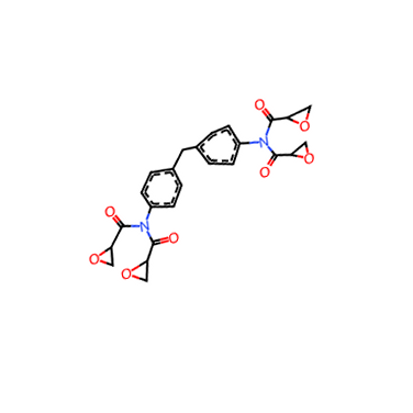 O=C(C1CO1)N(C(=O)C1CO1)c1ccc(Cc2ccc(N(C(=O)C3CO3)C(=O)C3CO3)cc2)cc1